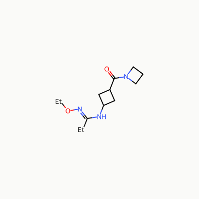 CCON=C(CC)NC1CC(C(=O)N2CCC2)C1